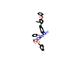 CCc1cc(OCc2ccccc2)ccc1-c1ccc2c(-c3nc4c(n3Cc3ccccc3)CN(C(C)C)[C@H](C(=O)OCc3ccccc3)C4)n[nH]c2c1